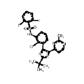 Cc1nccc(-c2sc(C(C)(C)C)nc2-c2cccc(NS(=O)(=O)c3c(F)cccc3F)c2Cl)n1